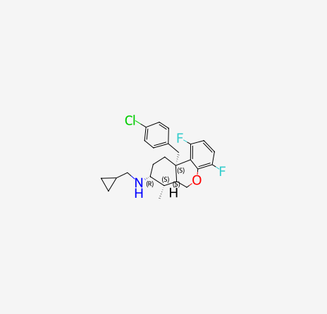 C[C@@H]1[C@H](NCC2CC2)CC[C@@]2(Cc3ccc(Cl)cc3)c3c(F)ccc(F)c3OC[C@@H]12